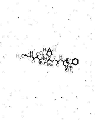 C=CCNC(=O)C(=O)C(CCCC)NC(=O)[C@@H]1[C@H]2C[C@H]2CN1C(=O)[C@@H](NC(=O)NC(CN(C)S(=O)(=O)c1ccccc1)C(C)C)C(C)(C)C